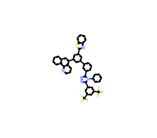 FC(F)(F)c1cc(-c2nnc(-c3cccc(-c4cc(-c5nc6ccccc6s5)cc(-c5cc6ccccc6c6ncccc56)c4)c3)n2-c2ccccc2)cc(C(F)(F)F)c1